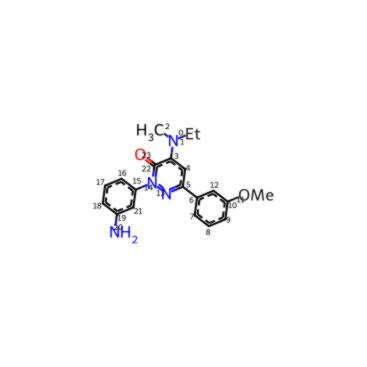 CCN(C)c1cc(-c2cccc(OC)c2)nn(-c2cccc(N)c2)c1=O